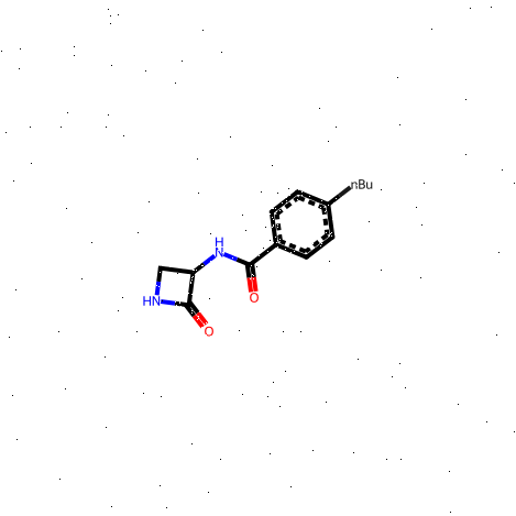 CCCCc1ccc(C(=O)NC2CNC2=O)cc1